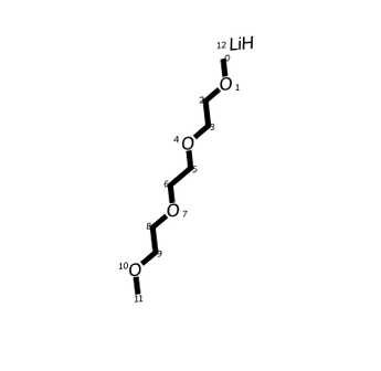 COCCOCCOCCOC.[LiH]